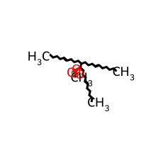 CCCCCC=CCCCC(CCCC=CCCCCC)C(CCCC=CCCCCC)OS(C)(=O)=O